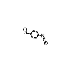 O=[C]c1ccc(N=C=O)cc1